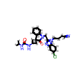 CC(C)NC(=O)N[C@H]1C[C@]2(C1)C(=O)N(Cc1nc3cc(Cl)ccc3n1CCCC#N)c1ccccc12